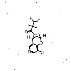 CC(C)(C(=O)N1C[C@@H]2C[C@H]1c1cncc(Cl)c1O2)C(F)F